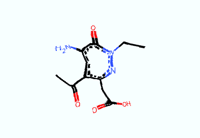 CCn1nc(C(=O)O)c(C(C)=O)c(N)c1=O